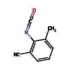 Cc1cccc(C#N)c1N=C=O